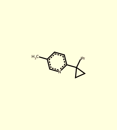 Cc1ccc(C2(C(C)C)CC2)nc1